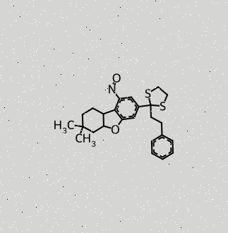 CC1(C)CCC2c3c(N=O)cc(C4(CCc5ccccc5)SCCS4)cc3OC2C1